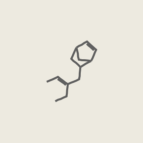 CC=C(CC)CC1CC2C=CC1C2